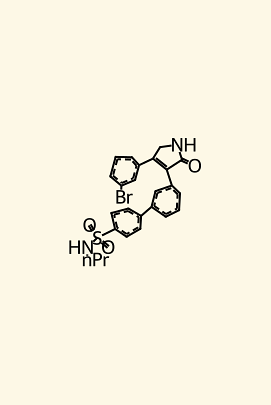 CCCNS(=O)(=O)c1ccc(-c2cccc(C3=C(c4cccc(Br)c4)CNC3=O)c2)cc1